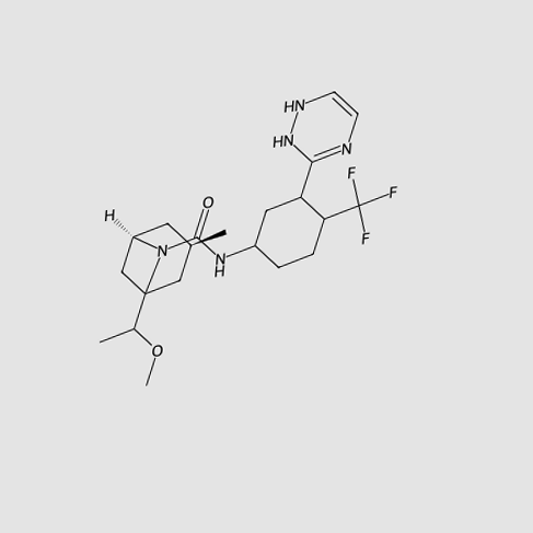 COC(C)C12C[C@H](C)C[C@H](C1)N2C(=O)NC1CCC(C(F)(F)F)C(C2=NC=CNN2)C1